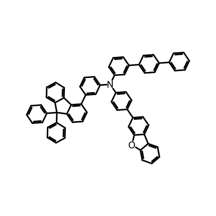 c1ccc(-c2ccc(-c3cccc(N(c4ccc(-c5ccc6c(c5)oc5ccccc56)cc4)c4cccc(-c5cccc6c5-c5ccccc5C6(c5ccccc5)c5ccccc5)c4)c3)cc2)cc1